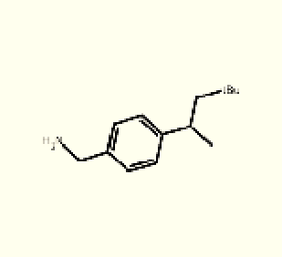 CC(CC(C)(C)C)c1ccc(CN)cc1